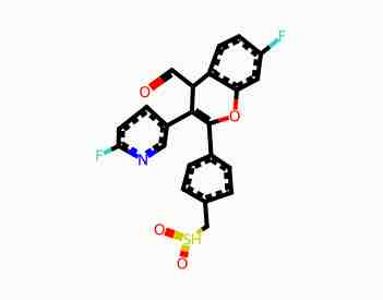 O=CC1C(c2ccc(F)nc2)=C(c2ccc(C[SH](=O)=O)cc2)Oc2cc(F)ccc21